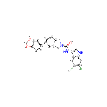 O=C(Nc1c[nH]c2cc(F)c(F)cc12)N1Cc2ccc(-c3ccc4c(c3)OCO4)cc2C1